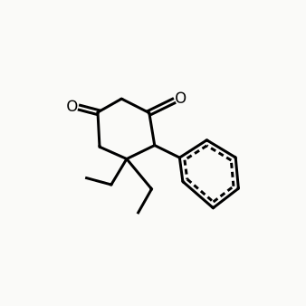 CCC1(CC)CC(=O)CC(=O)C1c1ccccc1